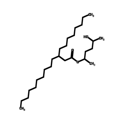 CCCCCCCCCCC(CCCCCCCC)CC(=O)OC(C)CCC(C)O